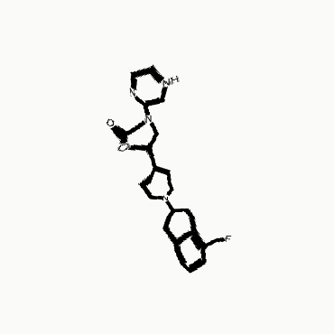 O=C1OC(C2CCN(C3Cc4cccc(F)c4C3)CC2)CN1C1=CNCC=N1